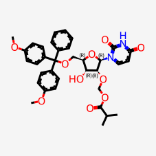 COc1ccc(C(OC[C@H]2O[C@@H](n3ccc(=O)[nH]c3=O)[C@H](OCOC(=O)C(C)C)[C@@H]2O)(c2ccccc2)c2ccc(OC)cc2)cc1